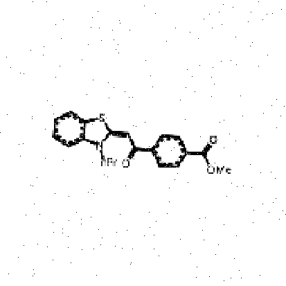 CCCN1/C(=C\C(=O)c2ccc(C(=O)OC)cc2)Sc2ccccc21